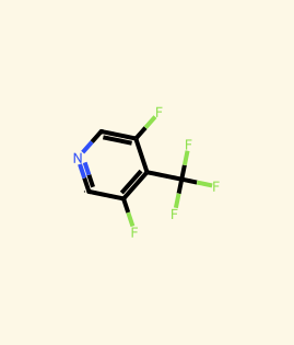 Fc1[c]ncc(F)c1C(F)(F)F